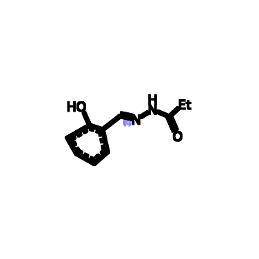 CCC(=O)N/N=C/c1ccccc1O